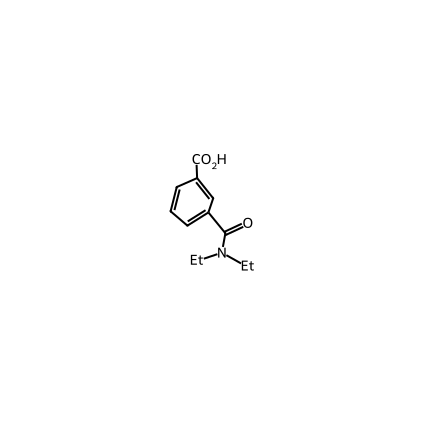 CCN(CC)C(=O)c1cccc(C(=O)O)c1